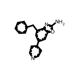 Nc1nc2c(Cc3ccccc3)cc(-c3ccncc3)cc2o1